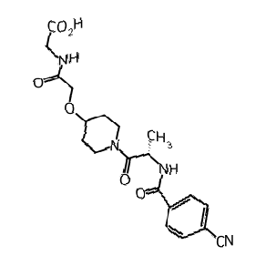 C[C@H](NC(=O)c1ccc(C#N)cc1)C(=O)N1CCC(OCC(=O)NCC(=O)O)CC1